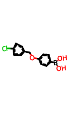 OB(O)c1ccc(OCc2ccc(Cl)cc2)cc1